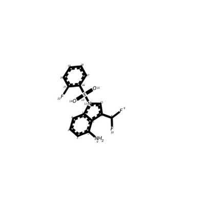 Nc1cccc2c1c(C(F)F)cn2S(=O)(=O)c1ccccc1F